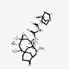 C[C@@H]1CC2CC3(CCC2=O)C[C@]1(C)[C@H](OC(=O)NC(=O)[C@H]1CN2CC[C@@H]1C2)CC(C)(C)[C@@H](O)[C@@H]3C